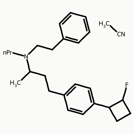 CC#N.CCCN(CCc1ccccc1)C(C)CCc1ccc(C2CCC2F)cc1